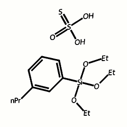 CCCc1cccc([Si](OCC)(OCC)OCC)c1.O=S(O)(O)=S